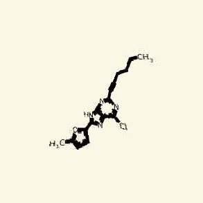 CCCCC#Cc1nc(Cl)c2nc(-c3ccc(C)o3)[nH]c2n1